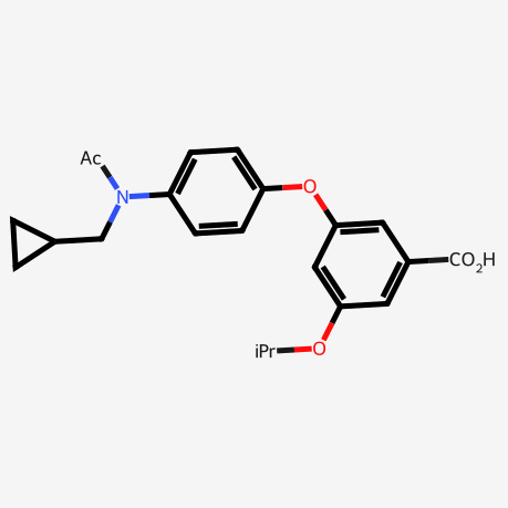 CC(=O)N(CC1CC1)c1ccc(Oc2cc(OC(C)C)cc(C(=O)O)c2)cc1